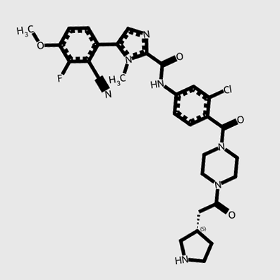 COc1ccc(-c2cnc(C(=O)Nc3ccc(C(=O)N4CCN(C(=O)C[C@@H]5CCNC5)CC4)c(Cl)c3)n2C)c(C#N)c1F